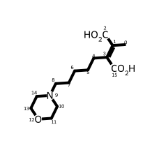 C/C(C(=O)O)=C(/CCCCCN1CCOCC1)C(=O)O